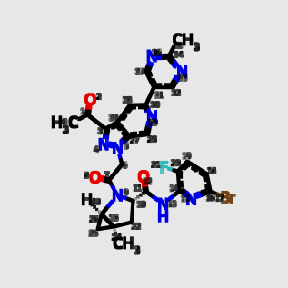 CC(=O)c1nn(CC(=O)N2[C@H](C(=O)Nc3nc(Br)ccc3F)C[C@@]3(C)C[C@@H]23)c2cnc(-c3cnc(C)nc3)cc12